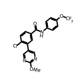 COc1ncc(-c2cc(C(=O)Nc3ccc(OC(F)(F)F)cc3)ccc2Cl)cn1